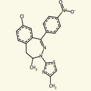 Cc1csc(N2N=C(c3ccc([N+](=O)[O-])cc3)c3cc(Cl)ccc3CC2C)n1